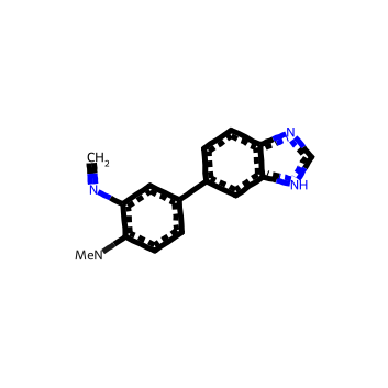 C=Nc1cc(-c2ccc3nc[nH]c3c2)ccc1NC